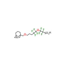 O=S(=O)(O)C(F)(F)C(F)(F)OC(F)(F)C(F)(F)CCCOCC12CCCC3(CC3C1)C2